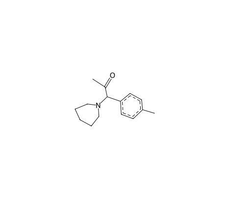 CC(=O)C(c1ccc(C)cc1)N1CCCCC1